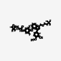 CC(C)Oc1ccc(-c2cn(COCC[Si](C)(C)C)c3nccc(Oc4c(F)cc(NC(=O)NCC5OCC5(C)C)cc4F)c23)cc1C#N